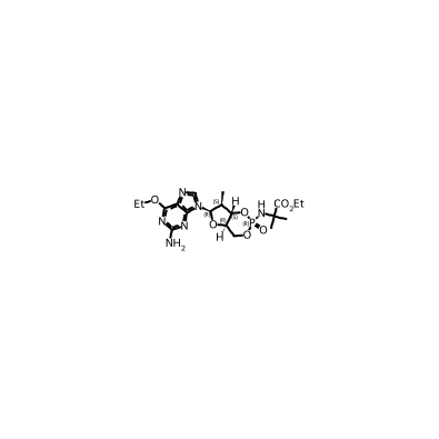 CCOC(=O)C(C)(C)N[P@@]1(=O)OC[C@H]2O[C@@H](n3cnc4c(OCC)nc(N)nc43)[C@@H](C)[C@@H]2O1